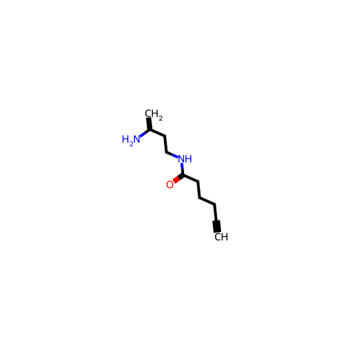 C#CCCCC(=O)NCCC(=C)N